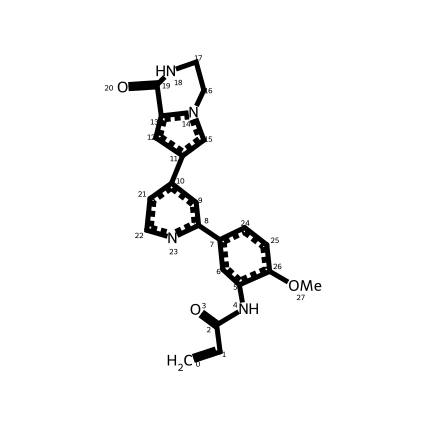 C=CC(=O)Nc1cc(-c2cc(-c3cc4n(c3)CCNC4=O)ccn2)ccc1OC